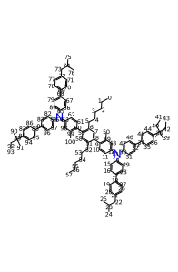 CCCCCCc1cc(-c2ccc(N(c3ccc(-c4ccc(CC(C)C)cc4)cc3)c3ccc(-c4ccc(C(C)(CC)CC)cc4)cc3)cc2C)c(CCCCCC)cc1-c1ccc(N(c2ccc(-c3ccc(CC(C)C)cc3)cc2)c2ccc(-c3ccc(C(C)(C)CC)cc3)cc2)cc1C